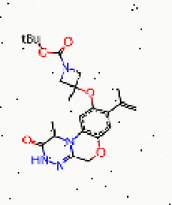 C=C(C)c1cc2c(cc1OC1(C)CN(C(=O)OC(C)(C)C)C1)N1C(=NNC(=O)C1C)CO2